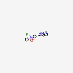 [O-][S+](c1ccccc1)N(CCF)c1ccc(C#Cc2cc3cccnc3[nH]2)cc1